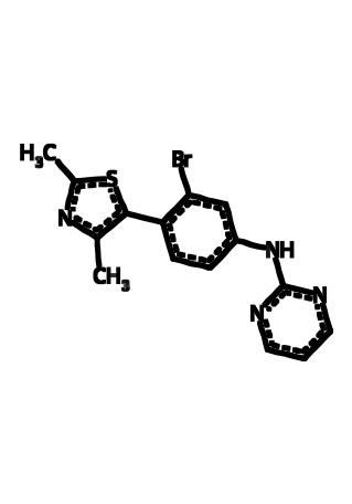 Cc1nc(C)c(-c2ccc(Nc3ncccn3)cc2Br)s1